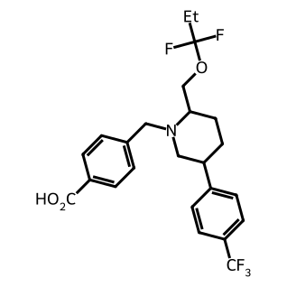 CCC(F)(F)OCC1CCC(c2ccc(C(F)(F)F)cc2)CN1Cc1ccc(C(=O)O)cc1